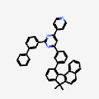 CC1(C)c2cccc(-c3cccc(-c4cc(-c5ccncc5)nc(-c5cccc(-c6ccccc6)c5)n4)c3)c2-c2c1ccc1ccccc21